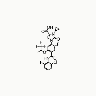 CC(Oc1cc(-n2nc(C(=O)O)n(C3CC3)c2=O)c(F)cc1C(=O)Nc1c(F)cccc1Cl)C(F)(F)F